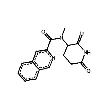 CN(C(=O)c1cc2ccccc2cn1)C1CCC(=O)NC1=O